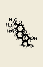 CC(C)C12OC1C1OC13C1(C)CC(O)C4=C(COC4=O)C1CC1OC13C2OS